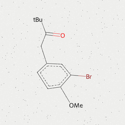 COc1ccc(CC(=O)C(C)(C)C)cc1Br